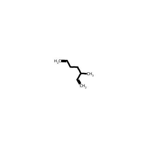 C=CC[CH]C(C)C=C